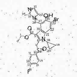 CCOC(=O)c1c(C[S+]([O-])c2ccc(F)cc2)n(C2CC2)c2cc(Br)c(O)c(Cn3ccnc3C)c12